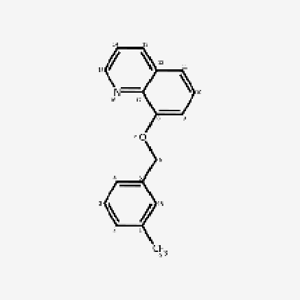 FC(F)(F)c1cccc(COc2cccc3cccnc23)c1